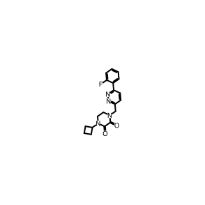 O=C1C(=O)N(C2CCC2)CCN1Cc1ccc(-c2ccccc2F)nn1